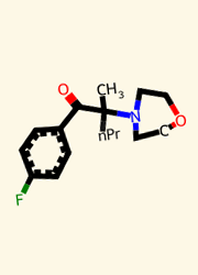 CCCC(C)(C(=O)c1ccc(F)cc1)N1CCOCC1